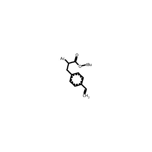 C=Cc1ccc(CC(C(C)=O)C(=O)OC(C)(C)C)cc1